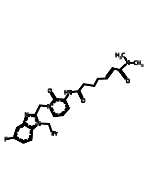 CC(C)Cn1c(Cn2cccc(NC(=O)CCC/C=C/C(=O)N(C)C)c2=O)nc2cc(F)ccc21